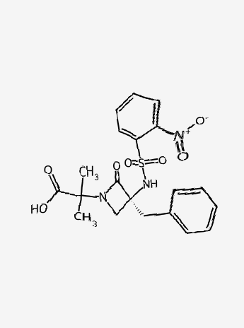 CC(C)(C(=O)O)N1C[C@](Cc2ccccc2)(NS(=O)(=O)c2ccccc2[N+](=O)[O-])C1=O